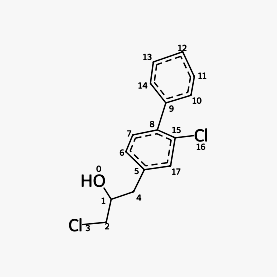 OC(CCl)Cc1ccc(-c2ccccc2)c(Cl)c1